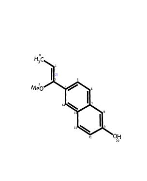 C/C=C(\OC)c1ccc2cc(O)ccc2c1